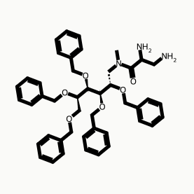 CN(C[C@H](OCc1ccccc1)[C@@H](OCc1ccccc1)[C@H](OCc1ccccc1)[C@@H](COCc1ccccc1)OCc1ccccc1)C(=O)C(N)CN